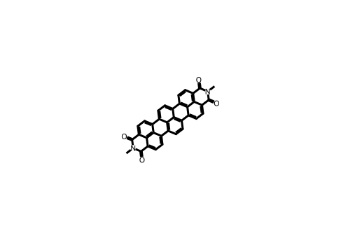 CN1C(=O)c2ccc3c4ccc5c6ccc7c8c(ccc(c9ccc(c%10ccc(c2c3%10)C1=O)c4c59)c86)C(=O)N(C)C7=O